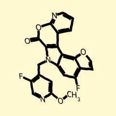 COc1cc(Cn2c3cc(F)c4ccoc4c3c3c4cccnc4oc(=O)c32)c(F)cn1